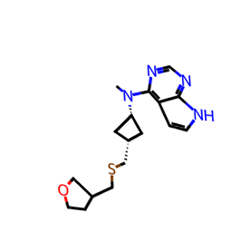 CN(c1ncnc2[nH]ccc12)[C@H]1C[C@@H](CSCC2CCOC2)C1